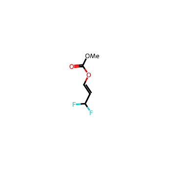 COC(=O)OC=CC(F)F